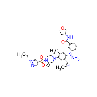 C/C=C\c1cc(N2CCN(S(=O)(=O)c3cnn(CCC)c3)C3(CC3)C2)c(C)cc1N(N)c1cccc(C(=O)NC2CCOC2)c1